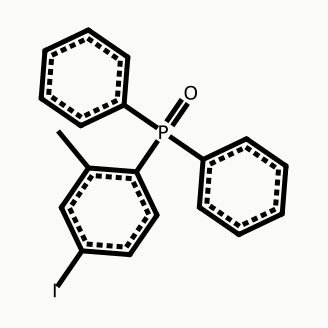 Cc1cc(I)ccc1P(=O)(c1ccccc1)c1ccccc1